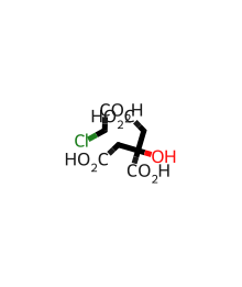 O=C(O)CC(O)(CC(=O)O)C(=O)O.O=C(O)CCl